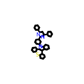 c1ccc(-c2cc(-c3ccccc3)nc(-c3cccc(-n4c5c(c6ccccc64)-c4ccccc4Sc4ccccc4-5)c3)n2)cc1